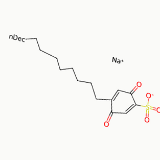 CCCCCCCCCCCCCCCCCCC1=CC(=O)C(S(=O)(=O)[O-])=CC1=O.[Na+]